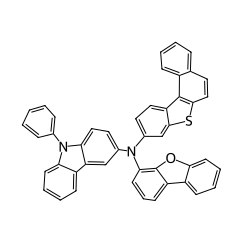 c1ccc(-n2c3ccccc3c3cc(N(c4ccc5c(c4)sc4ccc6ccccc6c45)c4cccc5c4oc4ccccc45)ccc32)cc1